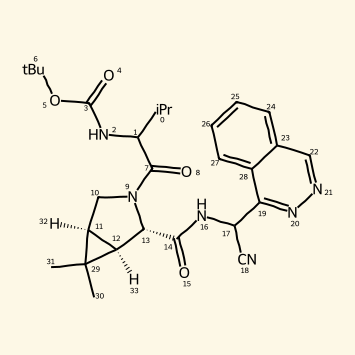 CC(C)C(NC(=O)OC(C)(C)C)C(=O)N1C[C@H]2[C@@H]([C@H]1C(=O)NC(C#N)c1nncc3ccccc13)C2(C)C